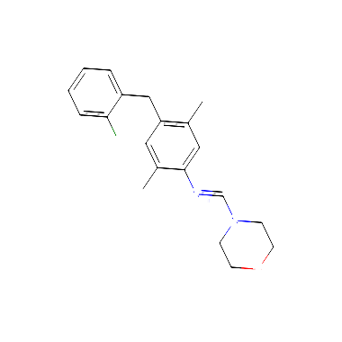 Cc1cc(/N=C/N2CCOCC2)c(C)cc1Cc1ccccc1Cl